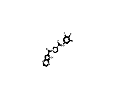 O=C(Nc1cc(F)c(F)c(F)c1)[C@H]1CCN(C(=O)c2cc3nccnc3[nH]2)C1